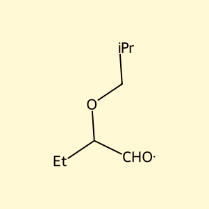 CCC([C]=O)OCC(C)C